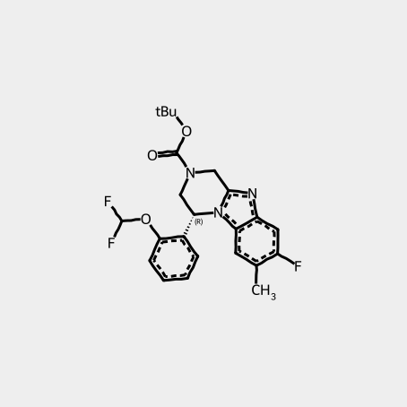 Cc1cc2c(cc1F)nc1n2[C@H](c2ccccc2OC(F)F)CN(C(=O)OC(C)(C)C)C1